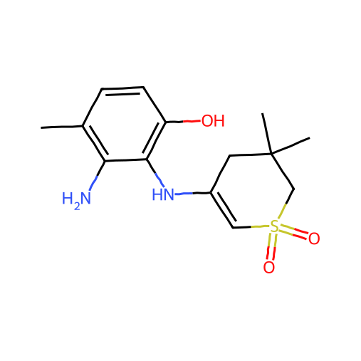 Cc1ccc(O)c(NC2=CS(=O)(=O)CC(C)(C)C2)c1N